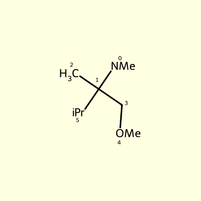 CNC(C)(COC)C(C)C